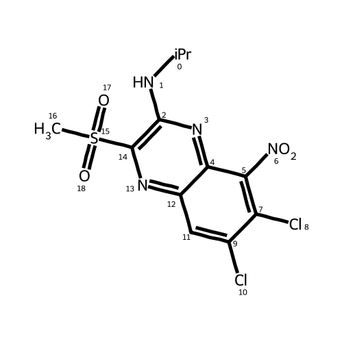 CC(C)Nc1nc2c([N+](=O)[O-])c(Cl)c(Cl)cc2nc1S(C)(=O)=O